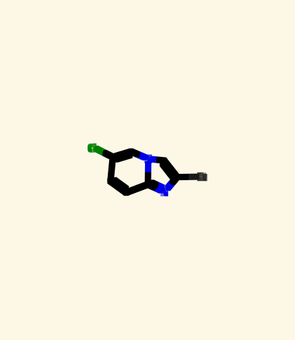 CCc1cn2cc(Cl)ccc2n1